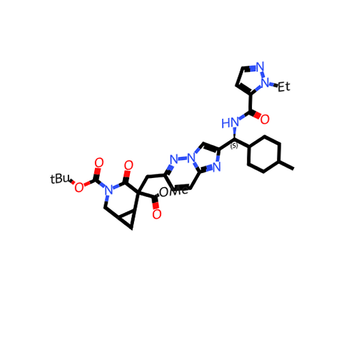 CCn1nccc1C(=O)N[C@H](c1cn2nc(CC3(C(=O)OC)C(=O)N(C(=O)OC(C)(C)C)CC4CC43)ccc2n1)C1CCC(C)CC1